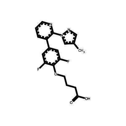 Cc1cnn(-c2ncccc2-c2cc(F)c(OCCCC(=O)O)c(F)c2)c1